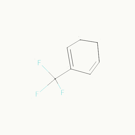 FC(F)(F)C1=CCCC=C1